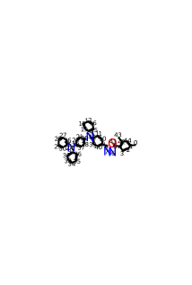 Cc1ccc(-c2nnc(-c3ccc(N(c4ccccc4)c4ccc(N(c5ccccc5)c5ccccc5)cc4)cc3)o2)c(C)c1